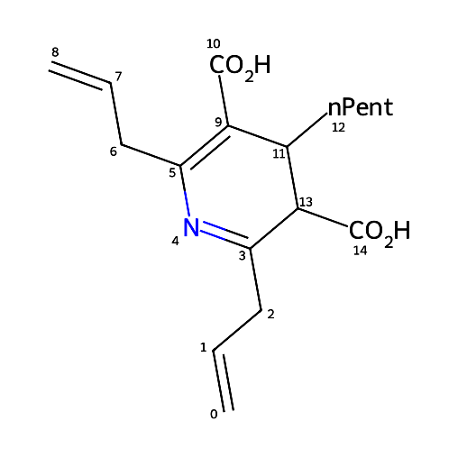 C=CCC1=NC(CC=C)=C(C(=O)O)C(CCCCC)C1C(=O)O